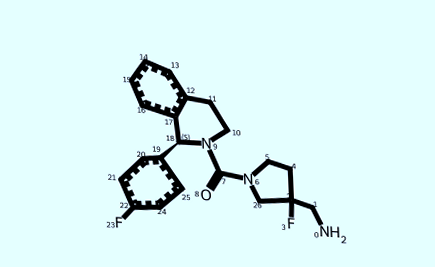 NCC1(F)CCN(C(=O)N2CCc3ccccc3[C@@H]2c2ccc(F)cc2)C1